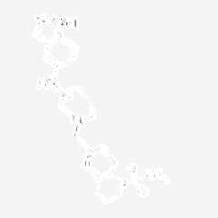 CS(=O)(=O)N1CCCc2cc(CN3CCC[C@H](Nc4ccc5[nH]ncc5c4)C3)ccc21